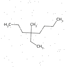 [CH2]CCC([CH2])(CC)CCCC